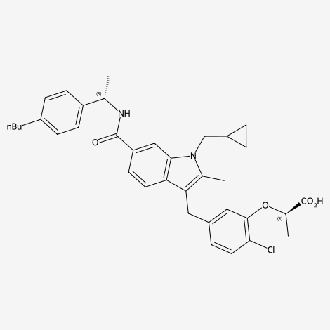 CCCCc1ccc([C@H](C)NC(=O)c2ccc3c(Cc4ccc(Cl)c(O[C@H](C)C(=O)O)c4)c(C)n(CC4CC4)c3c2)cc1